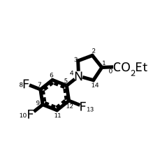 CCOC(=O)C1CCN(c2cc(F)c(F)cc2F)C1